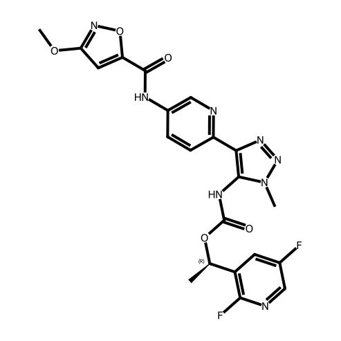 COc1cc(C(=O)Nc2ccc(-c3nnn(C)c3NC(=O)O[C@H](C)c3cc(F)cnc3F)nc2)on1